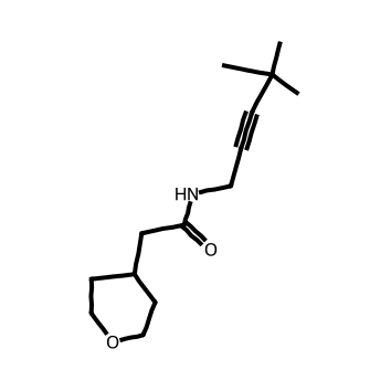 CC(C)(C)C#CCNC(=O)CC1CCOCC1